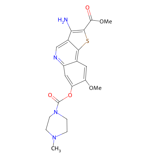 COC(=O)c1sc2c(cnc3cc(OC(=O)N4CCN(C)CC4)c(OC)cc32)c1N